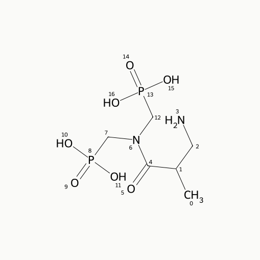 CC(CN)C(=O)N(CP(=O)(O)O)CP(=O)(O)O